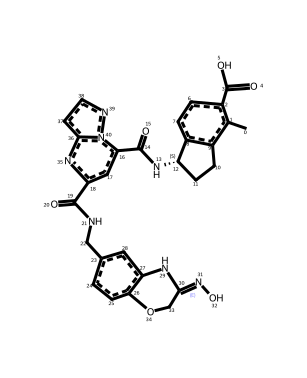 Cc1c(C(=O)O)ccc2c1CC[C@@H]2NC(=O)c1cc(C(=O)NCc2ccc3c(c2)N/C(=N/O)CO3)nc2ccnn12